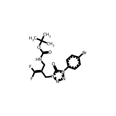 CC(C)(C)OC(=O)NCC(Cn1nnn(-c2ccc(Br)cc2)c1=O)=C(F)F